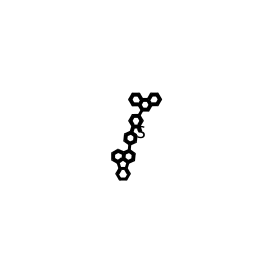 C1=C2C(=CCC1)c1ccc(-c3ccc4c(c3)sc3cc(-c5cc6ccccc6c6ccccc56)ccc34)c3cccc2c13